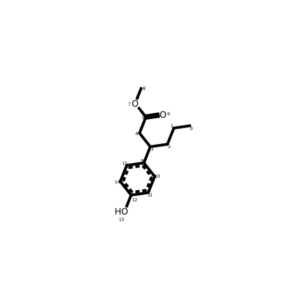 CCCC(CC(=O)OC)c1ccc(O)cc1